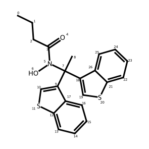 CCCC(=O)N(O)C(C)(c1csc2ccccc12)c1csc2ccccc12